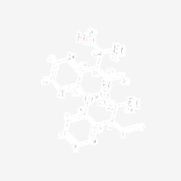 C=CC(c1ccccc1Oc1ccccc1C(C=C)C(O)CC)C(O)CC